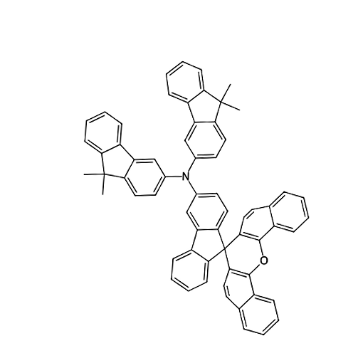 CC1(C)c2ccccc2-c2cc(N(c3ccc4c(c3)-c3ccccc3C4(C)C)c3ccc4c(c3)-c3ccccc3C43c4ccc5ccccc5c4Oc4c3ccc3ccccc43)ccc21